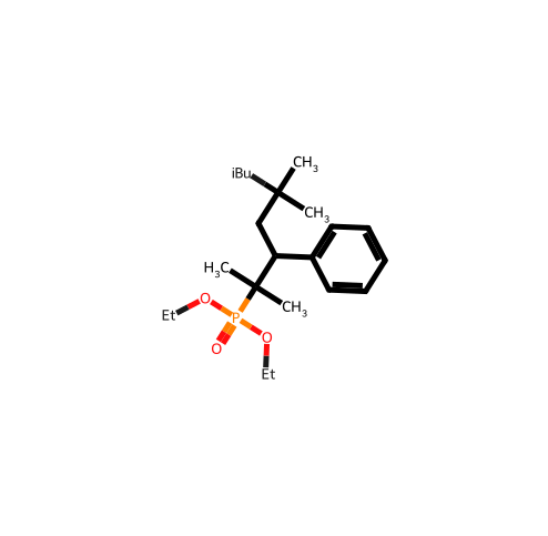 CCOP(=O)(OCC)C(C)(C)C(CC(C)(C)C(C)CC)c1ccccc1